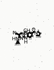 COc1cc(C(=O)N2CCCC2)ccc1Nc1ncc(C#N)c(NC2CC2)n1